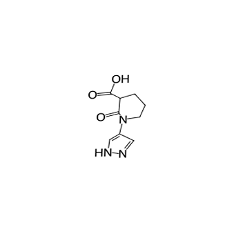 O=C(O)C1CCCN(c2cn[nH]c2)C1=O